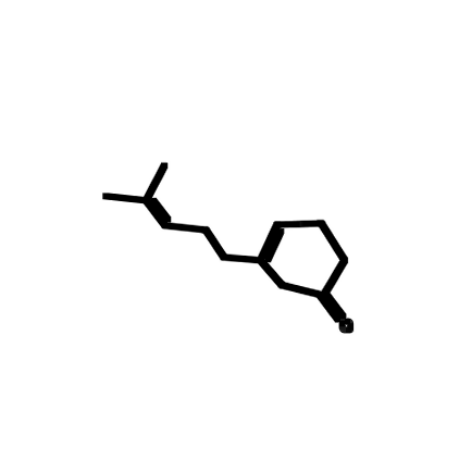 CC(C)=CCCC1=CCCC(=O)C1